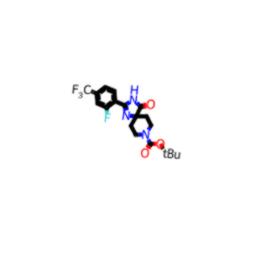 CC(C)(C)OC(=O)N1CCC2(CC1)N=C(c1ccc(C(F)(F)F)cc1F)NC2=O